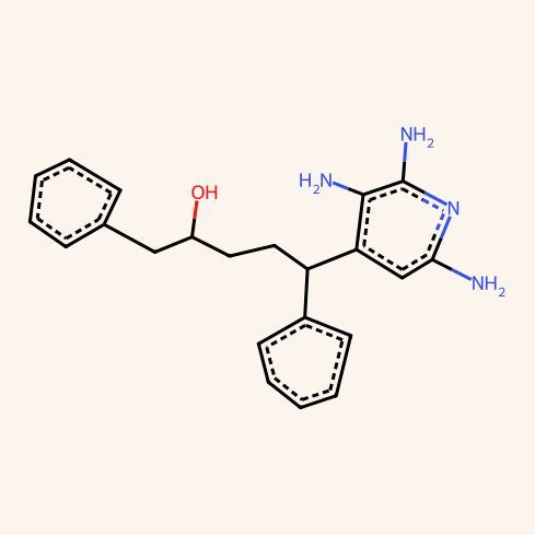 Nc1cc(C(CCC(O)Cc2ccccc2)c2ccccc2)c(N)c(N)n1